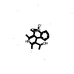 CC1=C(C(C)O)C(c2ccccc2[N+](=O)[O-])C(C(C)O)=C(C)N1